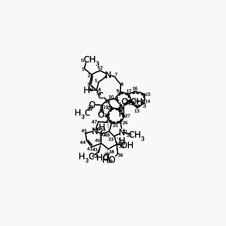 CCC1=C[C@@H]2CN(CCc3c([nH]c4ccccc34)[C@@](C(=O)OC)(c3cc4c(cc3OC)N(C)[C@H]3C(O)(CO)[C@H](O)[C@]5(CC)C=CCN6CC[C@]43[C@@H]65)C2)C1